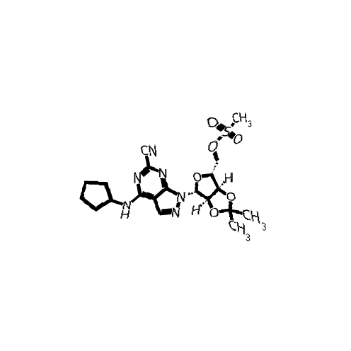 CC1(C)O[C@@H]2[C@H](O1)[C@@H](COS(C)(=O)=O)O[C@H]2n1ncc2c(NC3CCCC3)nc(C#N)nc21